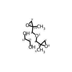 CC1(COCC2(C)CO2)CO1.OCCO